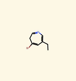 CCC1=CN=CCC(Br)=C1